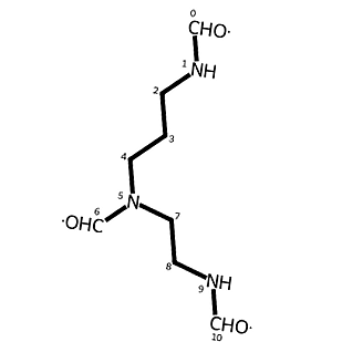 O=[C]NCCCN([C]=O)CCN[C]=O